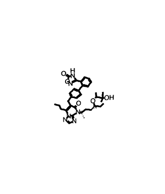 CCCc1c(Cc2ccc(-c3ccccc3-c3noc(=O)[nH]3)cc2)c(=O)n([C@@H](C)CC[C@H](CC)OC(C)C(C)(C)O)c2ncnn12